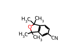 CC1(C)OC(C)(C)c2cc(C#N)ccc21